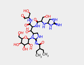 CCC(CC)C(=O)/N=C1\NCC(C(O)C(NC(=O)C(CO)NC2CNC(=N)N2)C(=O)NC([C]=O)CO)N1C1OC(CO)C(O)C(O)C1O